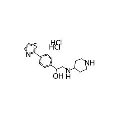 Cl.Cl.OC(CNC1CCNCC1)c1ccc(-c2nccs2)cc1